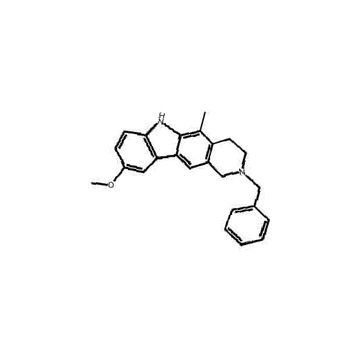 COc1ccc2[nH]c3c(C)c4c(cc3c2c1)CN(Cc1ccccc1)CC4